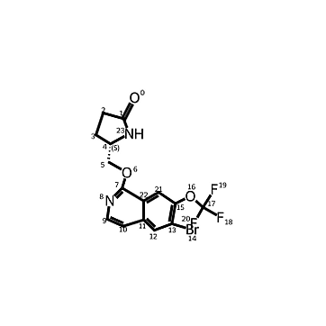 O=C1CC[C@@H](COc2nccc3cc(Br)c(OC(F)(F)F)cc23)N1